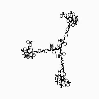 CC(=O)NC1C(OCCOCCOCCNC(=O)CCC(N)(CCC(=O)NCCOCCOCCOC2OC(COC(C)=O)C(OC(C)=O)C(OC(C)=O)C2NC(C)=O)CCC(=O)NCCOCCOCCOC2OC3(COC(C)=O)C(OC(C)=O)C3(OC(C)=O)C2NC(C)=O)OC(COC(C)=O)C(OC(C)=O)C1OC(C)=O